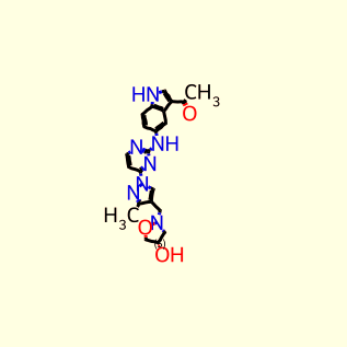 CC(=O)c1c[nH]c2ccc(Nc3nccc(-n4cc(CN5C[C@H](O)CO5)c(C)n4)n3)cc12